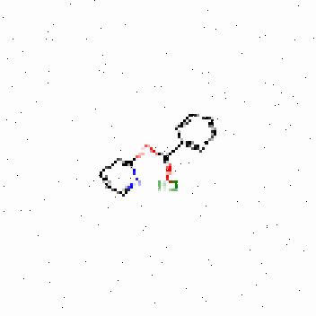 Cl.O=C(Oc1ccccn1)c1ccccc1